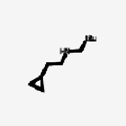 CC(C)(C)CNCCC1CC1